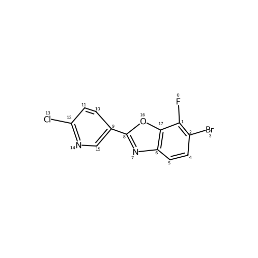 Fc1c(Br)ccc2nc(-c3ccc(Cl)nc3)oc12